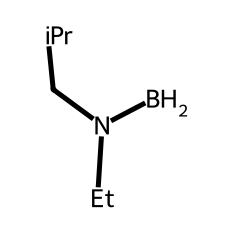 BN(CC)CC(C)C